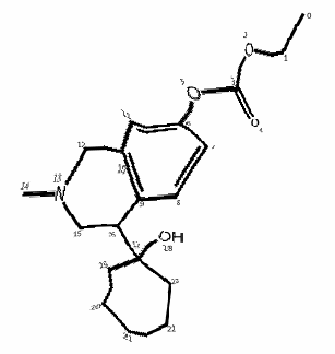 CCOC(=O)Oc1ccc2c(c1)CN(C)CC2C1(O)CCCCC1